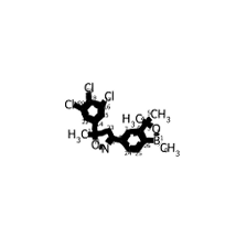 CB1OC(C)(C)c2cc(C3=NOC(C)(c4cc(Cl)c(Cl)c(Cl)c4)C3)ccc21